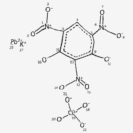 O=[N+]([O-])c1cc([N+](=O)[O-])c([O-])c([N+](=O)[O-])c1[O-].[K+].[O-][Cl+3]([O-])([O-])[O-].[Pb+2]